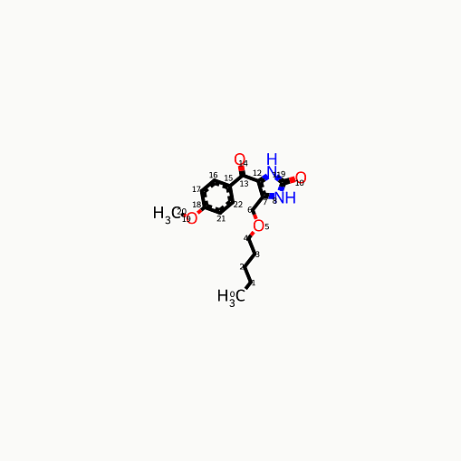 CCCCCOCc1[nH]c(=O)[nH]c1C(=O)c1ccc(OC)cc1